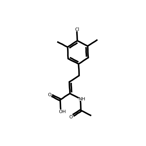 CC(=O)NC(=CCc1cc(C)c(Cl)c(C)c1)C(=O)O